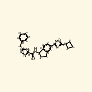 O=C(N[C@@H]1CCc2cc(-c3noc(C4CCC4)n3)ccc21)c1nnn(Cc2ccccc2)n1